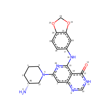 N[C@@H]1CCCN(c2cc3nc[nH]c(=O)c3c(Nc3ccc4c(c3)OCO4)n2)C1